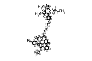 CCNC(=O)C[C@@H]1N=C(c2ccc(OCCOCCOCC(=O)N3CC(=O)N(c4cc(C#N)ccn4)[C@H](C(=O)N(c4cc(F)cc(F)c4)[C@H](C(=O)NC4CC(F)(F)C4)c4ccccc4Cl)C3)cc2)c2c(sc(C)c2C)-n2c(C)nnc21